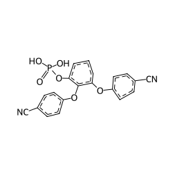 N#Cc1ccc(Oc2cccc(OP(=O)(O)O)c2Oc2ccc(C#N)cc2)cc1